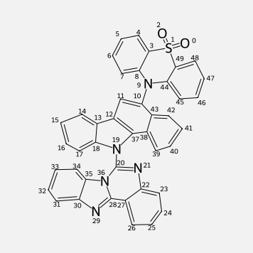 O=S1(=O)c2ccccc2N(c2cc3c4ccccc4n(-c4nc5ccccc5c5nc6ccccc6n45)c3c3ccccc23)c2ccccc21